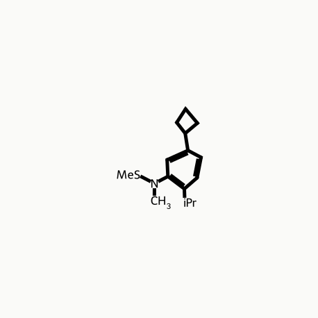 CSN(C)c1cc(C2CCC2)ccc1C(C)C